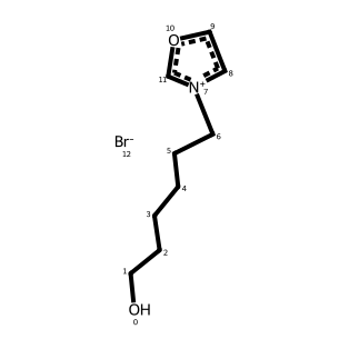 OCCCCCC[n+]1ccoc1.[Br-]